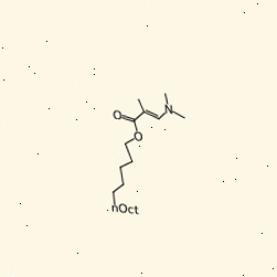 CCCCCCCCCCCCCOC(=O)C(C)=CN(C)C